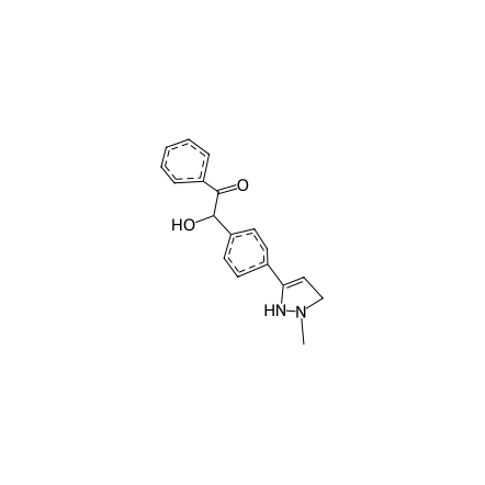 CN1CC=C(c2ccc(C(O)C(=O)c3ccccc3)cc2)N1